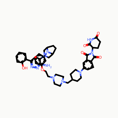 Nc1nnc(-c2ccccc2O)cc1N1CC2CCC(C1)N2c1cccc(OCCN2CCN(CC3CCN(c4ccc5c(c4)C(=O)N(C4CCC(=O)NC4=O)C5=O)CC3)CC2)c1